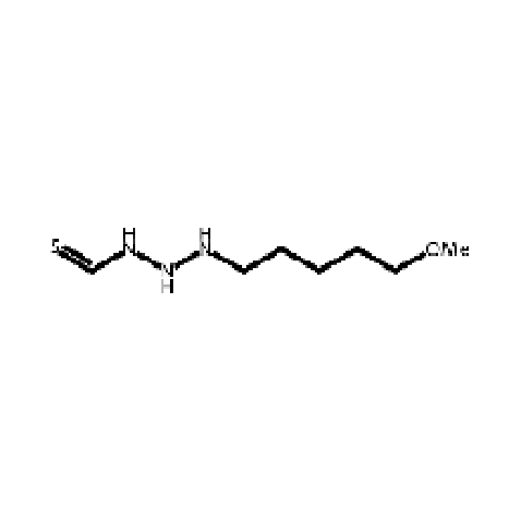 COCCCCCNNNC=S